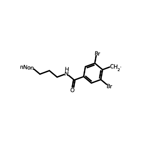 [CH2]c1c(Br)cc(C(=O)NCCCCCCCCCCCC)cc1Br